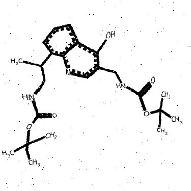 CC(CNC(=O)OC(C)(C)C)c1cccc2c(O)c(CNC(=O)OC(C)(C)C)cnc12